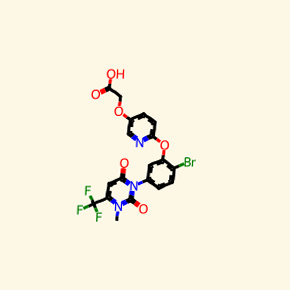 Cn1c(C(F)(F)F)cc(=O)n(-c2ccc(Br)c(Oc3ccc(OCC(=O)O)cn3)c2)c1=O